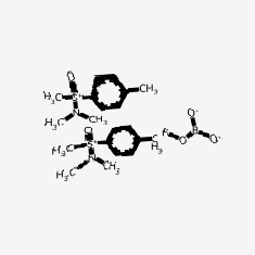 Cc1ccc([S+](C)(=O)N(C)C)cc1.Cc1ccc([S+](C)(=O)N(C)C)cc1.[O-]B([O-])OF